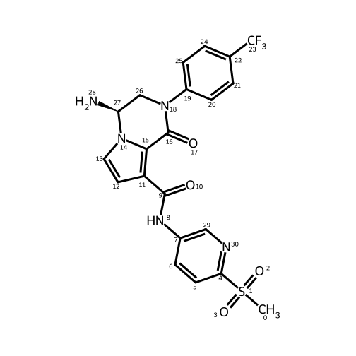 CS(=O)(=O)c1ccc(NC(=O)c2ccn3c2C(=O)N(c2ccc(C(F)(F)F)cc2)C[C@@H]3N)cn1